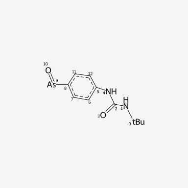 CC(C)(C)NC(=O)Nc1ccc([As]=O)cc1